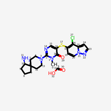 Cn1c(N2CCC3(CCC[C@H]3N)CC2)ncc(Sc2ccn3nccc3c2Cl)c1=O.O=CO